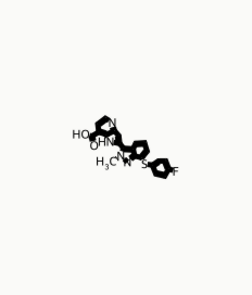 Cn1nc2c(Sc3ccc(F)cc3)cccc2c1-c1cc2nccc(C(=O)O)c2[nH]1